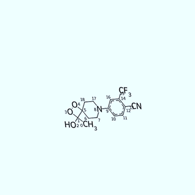 CC1(O)OOC12CCN(c1ccc(C#N)c(C(F)(F)F)c1)CC2